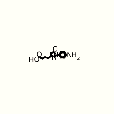 Nc1ccc(N2N=C(CCCC(=O)O)CC2=O)cc1